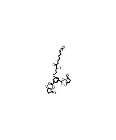 [N-]=[N+]=NCCCCCC(=O)NCCOc1cc(C(=O)ON2C(=O)CCC2=O)cc(C(=O)ON2C(=O)CCC2=O)c1